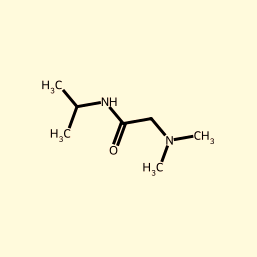 CC(C)NC(=O)CN(C)C